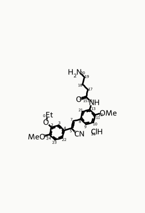 CCOc1cc(C(C#N)=Cc2ccc(OC)c(NC(=O)CCCN)c2)ccc1OC.Cl